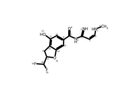 CN/C=C\C(=N)NC(=O)c1cc(O)c2c(c1)OC(C(F)F)C2